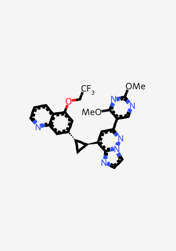 COc1ncc(-c2cc([C@H]3C[C@@H]3c3cc(OCC(F)(F)F)c4cccnc4c3)c3nccn3n2)c(OC)n1